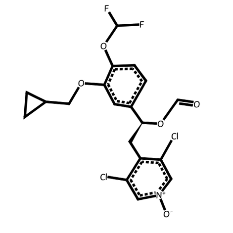 O=CO[C@@H](Cc1c(Cl)c[n+]([O-])cc1Cl)c1ccc(OC(F)F)c(OCC2CC2)c1